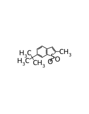 CC1=Cc2ccc(C(C)(C)C)cc2S1(=O)=O